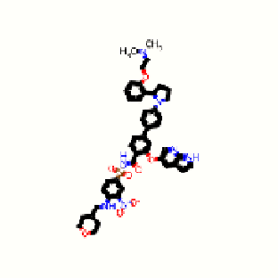 CN(C)CCOc1ccccc1C1CCCN1c1ccc(-c2ccc(C(=O)NS(=O)(=O)c3ccc(NCC4CCOCC4)c([N+](=O)[O-])c3)c(Oc3cnc4[nH]ccc4c3)c2)cc1